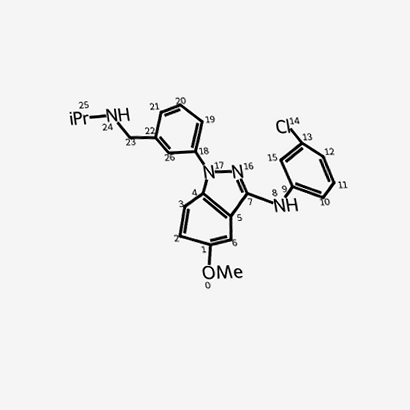 COc1ccc2c(c1)c(Nc1cccc(Cl)c1)nn2-c1cccc(CNC(C)C)c1